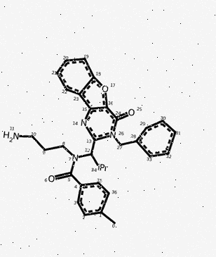 Cc1ccc(C(=O)N(CCCN)C(c2nc3c(oc4ccccc43)c(=O)n2Cc2ccccc2)C(C)C)cc1